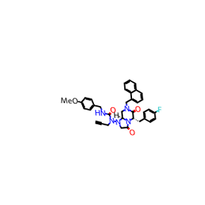 C#CCN(C(=O)NCc1ccc(OC)cc1)N1CC(=O)N2[C@@H](Cc3ccc(F)cc3)C(=O)N(Cc3cccc4ccccc34)C[C@@H]21